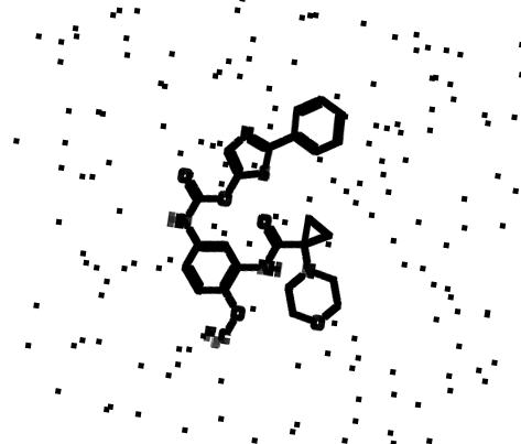 O=C(Nc1ccc(OC(F)(F)F)c(NC(=O)C2(N3CCOCC3)CC2)c1)Oc1cnc(-c2ccccc2)s1